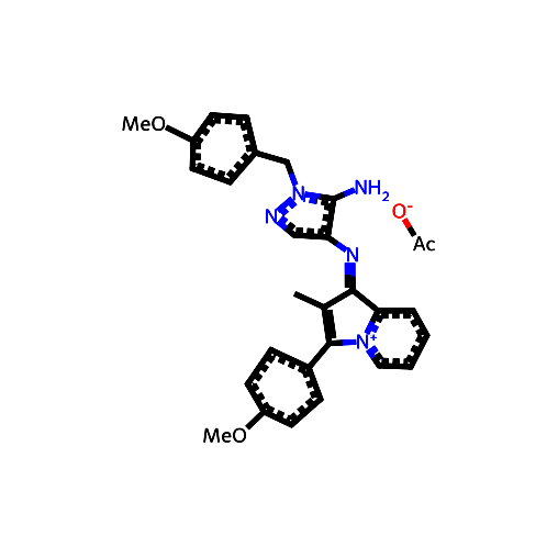 CC(=O)[O-].COc1ccc(Cn2ncc(/N=C3\C(C)=C(c4ccc(OC)cc4)[n+]4ccccc43)c2N)cc1